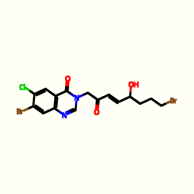 O=C(C=CC(O)CCCBr)Cn1cnc2cc(Br)c(Cl)cc2c1=O